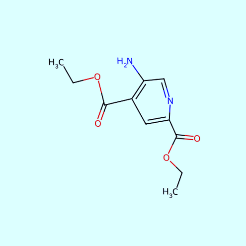 CCOC(=O)c1cc(C(=O)OCC)c(N)cn1